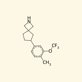 Cc1ccc(C2CCC3(CNC3)C2)cc1OC(F)(F)F